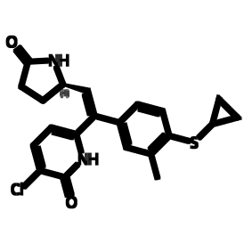 Cc1cc(C(=C[C@H]2CCC(=O)N2)c2ccc(Cl)c(=O)[nH]2)ccc1SC1CC1